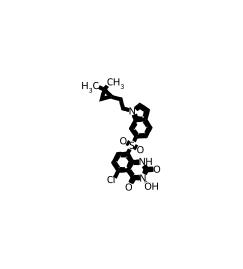 CC1(C)CC1CCn1ccc2ccc(S(=O)(=O)c3ccc(Cl)c4c(=O)n(O)c(=O)[nH]c34)cc21